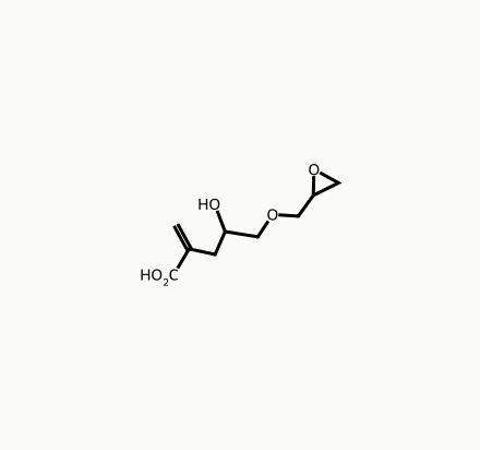 C=C(CC(O)COCC1CO1)C(=O)O